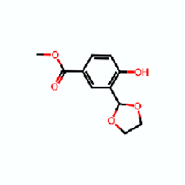 COC(=O)c1ccc(O)c(C2OCCO2)c1